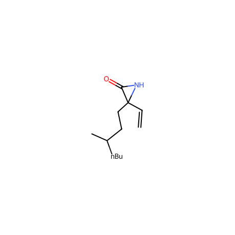 C=CC1(CCC(C)CCCC)NC1=O